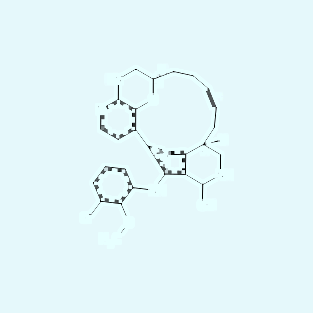 COc1c(Cl)cccc1Nc1c2[nH]c3c1C(O)NC[C@H]3C/C=C\CC[C@@H]1CNc3nccc-2c3O1